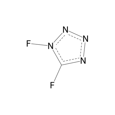 Fc1nnnn1F